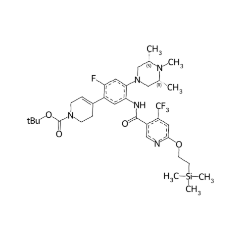 C[C@@H]1CN(c2cc(F)c(C3=CCN(C(=O)OC(C)(C)C)CC3)cc2NC(=O)c2cnc(OCC[Si](C)(C)C)cc2C(F)(F)F)C[C@H](C)N1C